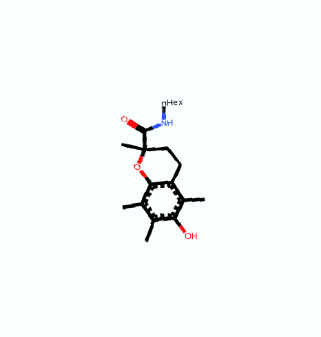 CCCCCCNC(=O)C1(C)CCc2c(C)c(O)c(C)c(C)c2O1